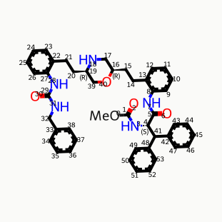 COC(=O)N[C@H](C(=O)Nc1ccccc1CC[C@@H]1CN[C@H](CCc2ccccc2NC(=O)NCc2ccccc2)CO1)C(c1ccccc1)c1ccccc1